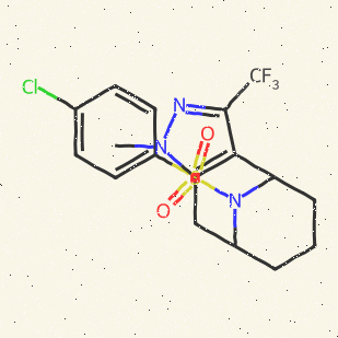 Cn1nc(C(F)(F)F)c2c1CC1CCCC2N1S(=O)(=O)c1ccc(Cl)cc1